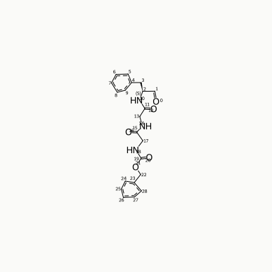 O=C[C@H](Cc1ccccc1)NC(=O)CNC(=O)CNC(=O)OCc1ccccc1